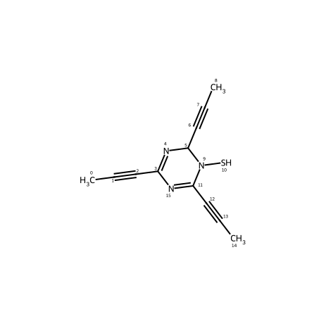 CC#CC1=NC(C#CC)N(S)C(C#CC)=N1